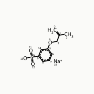 C=C(C)COc1cccc(S(=O)(=O)[O-])c1.[Na+]